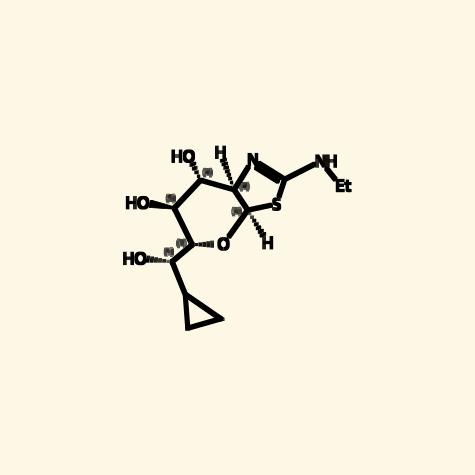 CCNC1=N[C@@H]2[C@@H](O)[C@H](O)[C@@H]([C@@H](O)C3CC3)O[C@@H]2S1